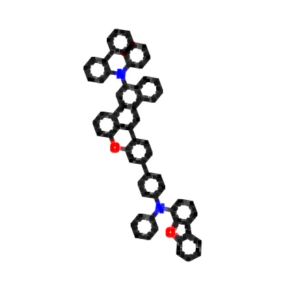 c1ccc(-c2ccccc2N(c2ccccc2)c2cc3c4cccc5c4c(cc3c3ccccc23)-c2ccc(-c3ccc(N(c4ccccc4)c4cccc6c4oc4ccccc46)cc3)cc2O5)cc1